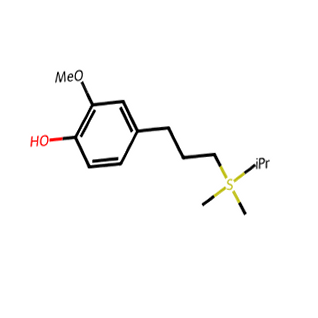 COc1cc(CCCS(C)(C)C(C)C)ccc1O